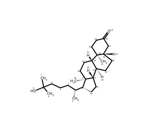 C[C@H](CCCC(C)(C)O)[C@H]1CC[C@H]2[C@@H]3CC[C@H]4CC(=O)CC[C@]4(C)[C@H]3CC[C@]12C